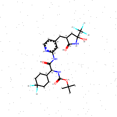 CC(C)(C)OC(=O)N[C@H](C(=O)Nc1cc(CC2CC(O)(C(F)(F)F)NC2=O)ccn1)C1CCC(F)(F)CC1